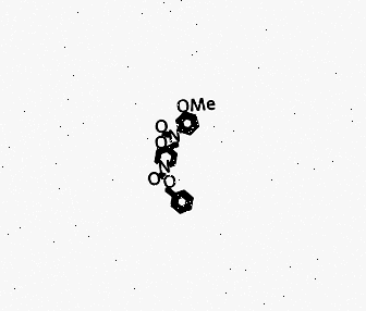 COc1cccc(N2CC3(CCN(C(=O)OCc4ccccc4)CC3)OC2=O)c1